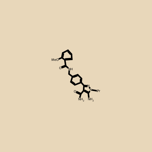 COc1ccccc1C(=O)NCc1ccc(-c2nn(C(C)C)c(N)c2C(N)=O)cc1